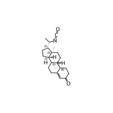 CC(N=C=O)[C@H]1CC[C@H]2[C@@H]3CCC4=CC(=O)CC[C@]4(C)[C@H]3CC[C@]12C